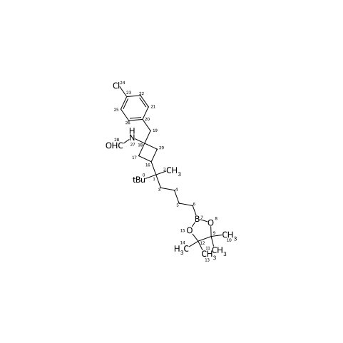 CC(C)(C)C(C)(CCCCB1OC(C)(C)C(C)(C)O1)C1CC(Cc2ccc(Cl)cc2)(NC=O)C1